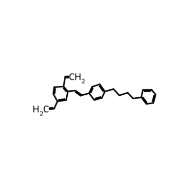 C=Cc1ccc(C=C)c(C=Cc2ccc(CCCCc3ccccc3)cc2)c1